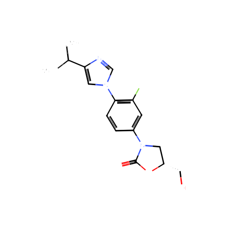 COC(OC)c1cn(-c2ccc(N3C[C@H](CO)OC3=O)cc2F)cn1